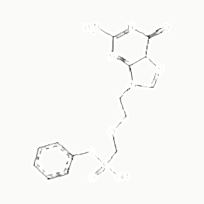 NC1=NC(=O)C2N=CN(CCOCP(=O)(O)Oc3ccccc3)C2=N1